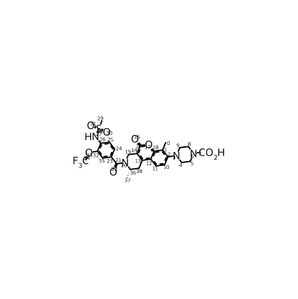 Cc1c(N2CCN(C(=O)O)CC2)ccc2c3c(c(=O)oc12)CN(C(=O)c1ccc(NS(C)(=O)=O)c(OC(F)(F)F)c1)[C@@H](C)C3